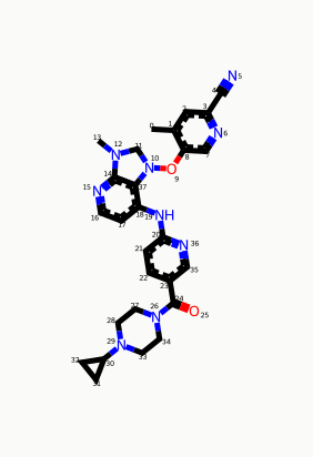 Cc1cc(C#N)ncc1ON1CN(C)c2nccc(Nc3ccc(C(=O)N4CCN(C5CC5)CC4)cn3)c21